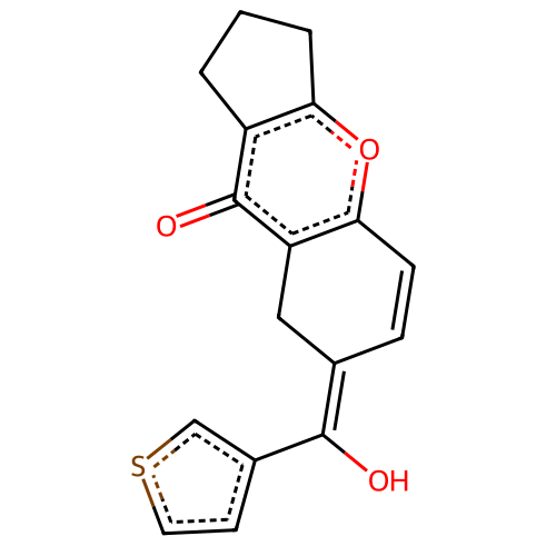 O=c1c2c(oc3c1CCC3)C=CC(=C(O)c1ccsc1)C2